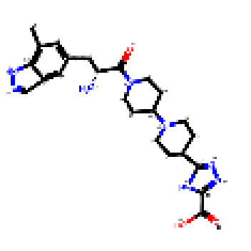 Cc1cc(C[C@@H](N)C(=O)N2CCC(N3CCC(c4nnc(C(=O)O)[nH]4)CC3)CC2)cc2cn[nH]c12